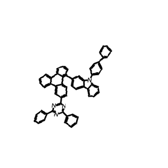 c1ccc(-c2ccc(-n3c4ccccc4c4ccc(-c5cccc6c7ccccc7c7cc(-c8nc(-c9ccccc9)nc(-c9ccccc9)n8)ccc7c56)cc43)cc2)cc1